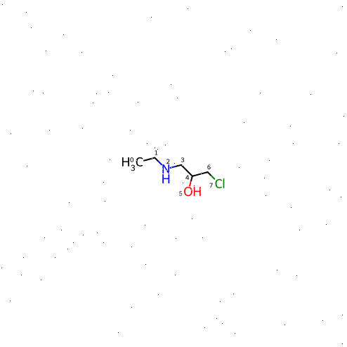 CCNCC(O)CCl